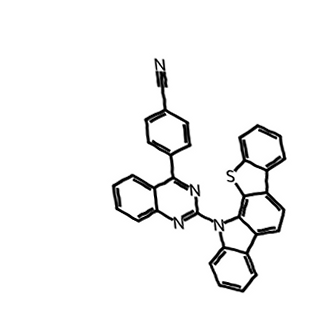 N#Cc1ccc(-c2nc(-n3c4ccccc4c4ccc5c6ccccc6sc5c43)nc3ccccc23)cc1